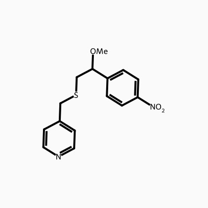 COC(CSCc1ccncc1)c1ccc([N+](=O)[O-])cc1